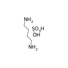 NCCCCN.O=S(=O)(O)O